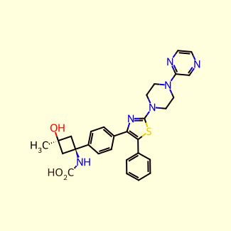 C[C@]1(O)C[C@](NC(=O)O)(c2ccc(-c3nc(N4CCN(c5cnccn5)CC4)sc3-c3ccccc3)cc2)C1